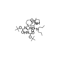 CCCN(CCC)C(=O)C(NC(C)=O)C1(NC(=NC(=O)OC(C)(C)C)NC(=O)OC(C)(C)C)SCCCS1=C1CCCC1